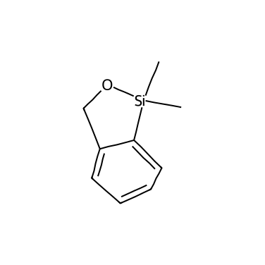 C[Si]1(C)OCc2ccccc21